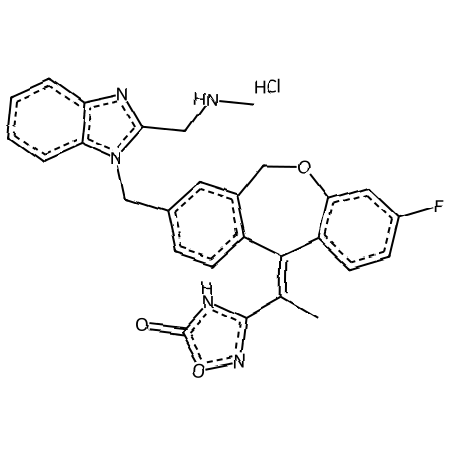 CNCc1nc2ccccc2n1Cc1ccc2c(c1)COc1cc(F)ccc1/C2=C(\C)c1noc(=O)[nH]1.Cl